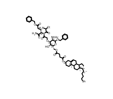 CCC(N)C(=O)N(C(=O)CO[C@@H]1[C@H](O)[C@@H](COC(=O)CCC(=O)O[C@@H]2CC[C@@]3(C)C(=CCC4C3CC[C@@]3(C)C4CC[C@@H]3[C@H](C)CCCC(C)C)C2)OC(OCc2ccccc2)[C@@H]1NC(C)=O)[C@H](CCC(=O)OCc1ccccc1)C(N)=O